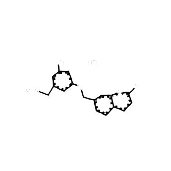 CNCc1cc(C#N)cc(OCc2ccc3ccc(N)nc3c2)c1.Cl.Cl